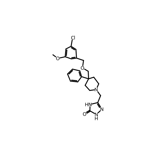 COc1cc(Cl)cc(COCC2(c3ccccc3)CCN(Cc3n[nH]c(=O)[nH]3)CC2)c1